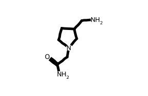 NCC1CCN(CC(N)=O)C1